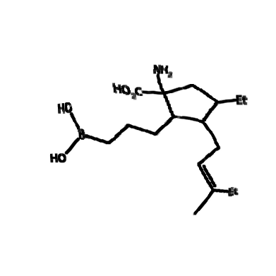 CC/C(C)=C\CC1C(CC)CC(N)(C(=O)O)C1CCCB(O)O